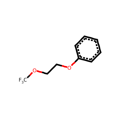 FC(F)(F)OCCOc1ccccc1